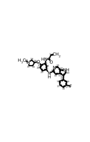 C=CC(=O)Nc1cc(Nc2cc3c(-c4cccc(F)c4)c[nH]c3cn2)ccc1OC1CCN(C)C1